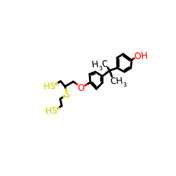 CC(C)(c1ccc(O)cc1)c1ccc(OCC(CS)SCCS)cc1